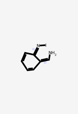 N/C=C1/C=CC=C/C1=N/I